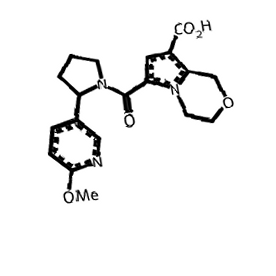 COc1ccc(C2CCCN2C(=O)c2cc(C(=O)O)c3n2CCOC3)cn1